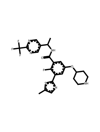 Cc1cnc(-c2cc(OC3CCNCC3)cc(C(=O)NC(C)c3cnc(C(F)(F)F)nc3)c2F)s1